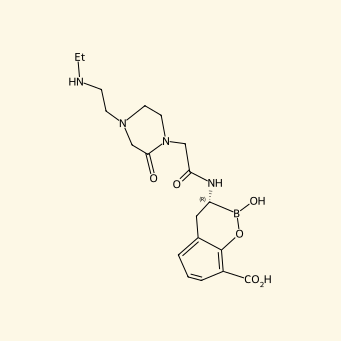 CCNCCN1CCN(CC(=O)N[C@H]2Cc3cccc(C(=O)O)c3OB2O)C(=O)C1